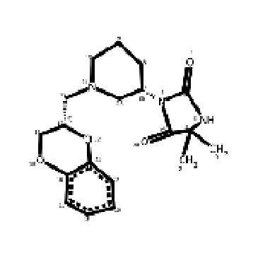 CC1(C)NC(=O)N([C@H]2CCCN(C[C@H]3COc4ccccc4O3)C2)C1=O